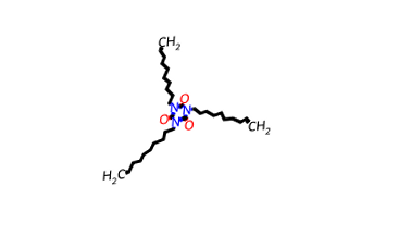 C=CCCCCCCCCn1c(=O)n(CCCCCCCCC=C)c(=O)n(CCCCCCCCC=C)c1=O